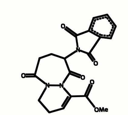 COC(=O)C1=CCCN2C(=O)CCC(N3C(=O)c4ccccc4C3=O)C(=O)N12